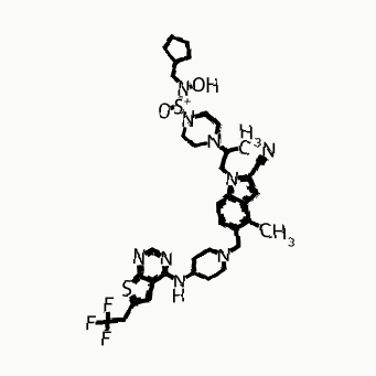 Cc1c(CN2CCC(Nc3ncnc4sc(CC(F)(F)F)cc34)CC2)ccc2c1cc(C#N)n2CC(C)N1CCN([S+]([O-])N(O)CC2CCCC2)CC1